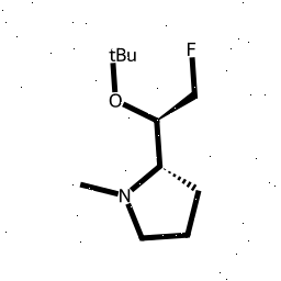 CN1CCC[C@H]1[C@H](CF)OC(C)(C)C